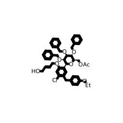 CCOc1ccc(Cc2cc([C@@H]3O[C@H](COC(C)=O)[C@@H](OCc4ccccc4)[C@H](OCc4ccccc4)[C@H]3OCc3ccccc3)c(OCC=CCO)cc2Cl)cc1